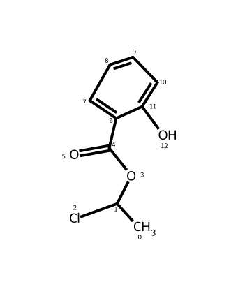 CC(Cl)OC(=O)c1ccccc1O